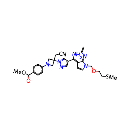 C=C/N=C1\C(=C(/N)c2cnn(C3(CC#N)CN(c4ccc(C(=O)OC)cc4)C3)c2)C=CN1COCCSC